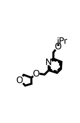 CC(C)OCc1cccc(COC2CCOC2)n1